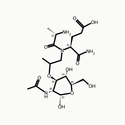 CC(=O)N[C@@H]1[C@@H](OC(C)CN(C(=O)[C@H](C)N)[C@@H](CCC(=O)O)C(N)=O)[C@H](O)[C@@H](CO)O[C@@H]1O